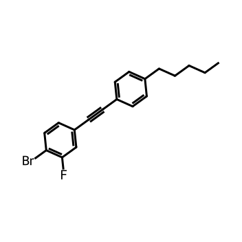 CCCCCc1ccc(C#Cc2ccc(Br)c(F)c2)cc1